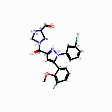 COc1c(F)cccc1-c1cc(C(=O)N2CNC(C=O)C2)nn1-c1cccc(Cl)c1